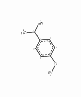 CCCC(O)c1ccc(OC(C)C)cc1